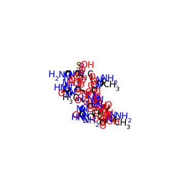 COCCOC1C(OP(O)(=S)OCC2OC(n3cnc4c(=O)[nH]c(N)nc43)CC2OP(O)(=S)OCC2OC(n3ccc(N)nc3=O)CC2O[PH](O)=S)C(COP(O)(=S)OC2C(COP(O)(=S)OC3C4OCC3(COP(O)(=S)OC3C5OCC3(COC(C)C)OC5n3cc(C)c(N)nc3=O)OC4n3cnc4c(N)ncnc43)OC(n3cnc4c(=O)[nH]c(N)nc43)C2OCCOC)OC1n1cc(C)c(N)nc1=O